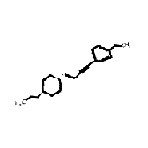 CCC[C@H]1CC[C@H](C=CC#Cc2ccc(CC)cc2)CC1